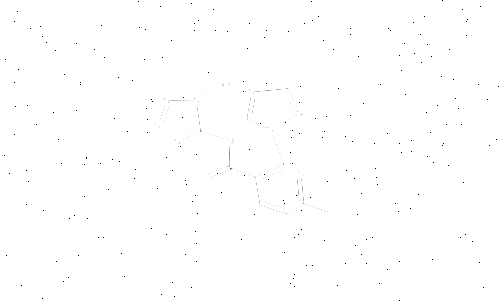 CCCCn1nnnc1NC(=O)c1ccc(C(F)(F)F)nc1-n1cncn1